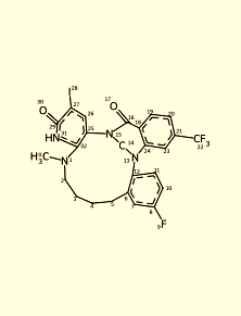 CN1CCCCc2cc(F)ccc2N2CN(C(=O)c3ccc(C(F)(F)F)cc32)c2cc(I)c(=O)[nH]c21